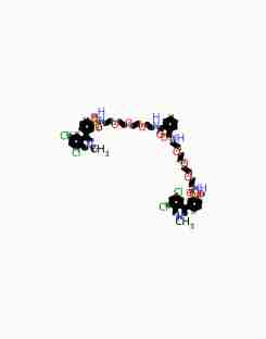 CN1Cc2c(Cl)cc(Cl)cc2C(c2cccc(S(=O)(=O)NCCOCCOCCOCCNC(=O)c3ccccc3C(=O)NCCOCCOCCOCCNS(=O)(=O)c3cccc(C4CN(C)Cc5c(Cl)cc(Cl)cc54)c3)c2)C1